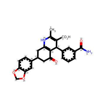 CC1=C(C(=O)O)C(c2cccc(C(N)=O)c2)C2=C(CC(c3ccc4c(c3)OCO4)CC2=O)N1